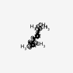 COc1ccc(OC)c(OC)c1CCC(=O)c1cccc(OCC(=O)OC(C)(C)C)c1